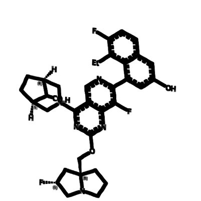 CCc1c(F)ccc2cc(O)cc(-c3ncc4c(N5C[C@H]6CC[C@@H](C5)C6C(=O)O)nc(OC[C@@]56CCCN5C[C@H](F)C6)nc4c3F)c12